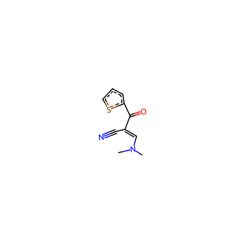 CN(C)C=C(C#N)C(=O)c1cccs1